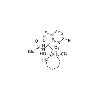 CC(C[S@]1(O)NCCCCC1(C)C#N)(N[S+]([O-])C(C)(C)C)c1nc(Br)ccc1F